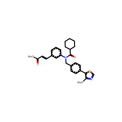 COC(=O)/C=C/c1cccc(N(Cc2ccc(-c3scnc3OC)cc2)C(=O)C2CCCCC2)c1